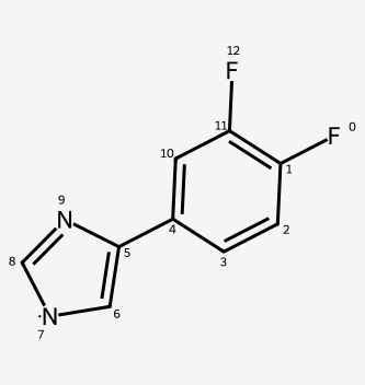 Fc1ccc(C2=C[N]C=N2)cc1F